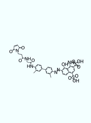 Cc1cc(-c2ccc(NC(=O)CNC(=O)CCN3C(=O)C=CC3=O)c(C)c2)ccc1/N=N/c1ccc2c(S(=O)(=O)O)cc(S(=O)(=O)O)c(N)c2c1O